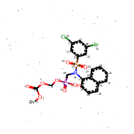 CC(C)OC(=O)OCOP(=O)(O)CN(c1cccc2ccccc12)S(=O)(=O)c1cc(Cl)cc(Br)c1